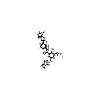 Cn1cnnc1CC(C)(C)c1cccc(NC(=O)c2cc(CNCC3COC3)cn(CC(F)(F)F)c2=O)c1